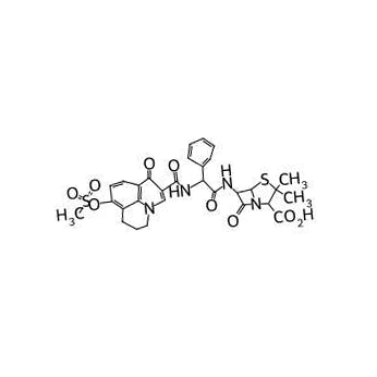 CC1(C)SC2C(NC(=O)C(NC(=O)c3cn4c5c(c(OS(C)(=O)=O)ccc5c3=O)CCC4)c3ccccc3)C(=O)N2C1C(=O)O